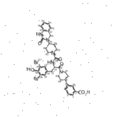 O=C(O)c1cccc(C2CCN(C(=O)[C@@H](Cc3cc(Br)c(O)c(Br)c3)NC(=O)N3CCC(N4Cc5ccccc5NC4=O)CC3)CC2)c1